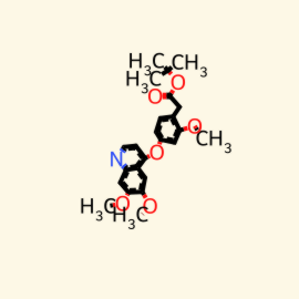 COc1cc(Oc2ccnc3cc(OC)c(OC)cc23)ccc1CC(=O)OC(C)(C)C